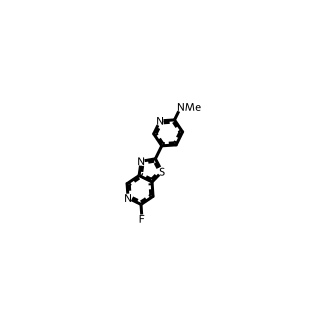 CNc1ccc(-c2nc3cnc(F)cc3s2)cn1